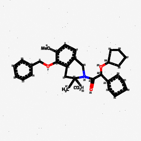 COc1ccc2c(c1OCc1ccccc1)CC(C)(C(=O)O)N(C(=O)C(OC1CCCC1)c1ccccc1)C2